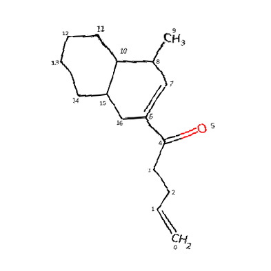 C=CCCC(=O)C1=CC(C)C2CCCCC2C1